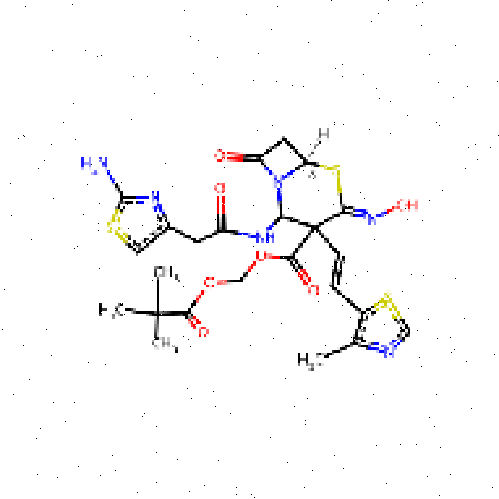 Cc1ncsc1C=CC1(C(=O)OCOC(=O)C(C)(C)C)C(=NO)S[C@@H]2CC(=O)N2C1NC(=O)Cc1csc(N)n1